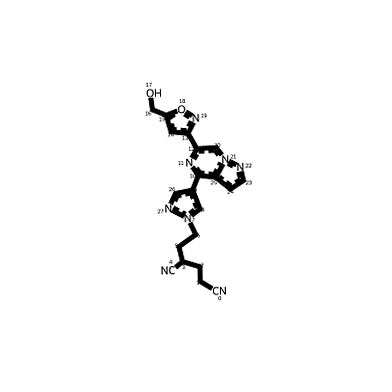 N#CCCC(C#N)CCn1cc(-c2nc(-c3cc(CO)on3)cn3nccc23)cn1